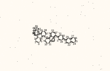 c1ccc2c(c1)-c1c(-c3cccc4oc5c(-c6ccc(-c7ccc8ccccc8c7)cc6)cccc5c34)cccc1C21C2CC3CC(C2)CC1C3